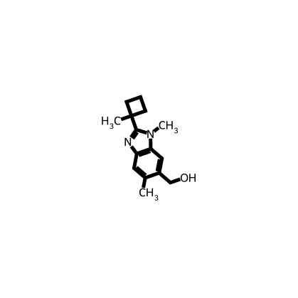 Cc1cc2nc(C3(C)CCC3)n(C)c2cc1CO